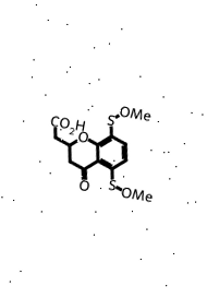 COSc1ccc(SOC)c2c1OC(CC(=O)O)CC2=O